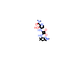 CN(C)C(=O)c1nccc(Nc2c(NC3c4nn(C)cc4CC3(C)C)c(=O)c2=O)c1O